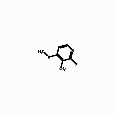 [CH2]c1c(OC)ccnc1F